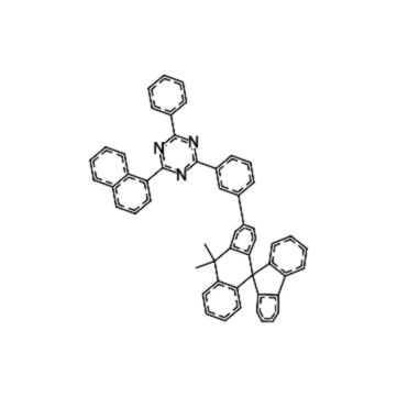 CC1(C)c2ccccc2C2(c3ccccc3-c3ccccc32)c2ccc(-c3cccc(-c4nc(-c5ccccc5)nc(-c5cccc6ccccc56)n4)c3)cc21